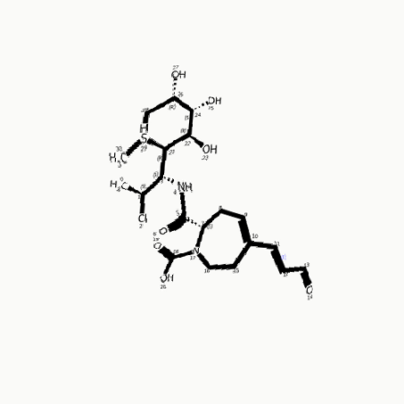 C[C@H](Cl)[C@@H](NC(=O)[C@@H]1CC=C(/C=C/C=O)CCN1C(=O)O)[C@@H]1[C@H](O)[C@@H](O)[C@@H](O)C[SH]1C